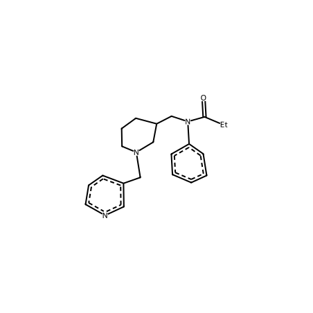 CCC(=O)N(CC1CCCN(Cc2cccnc2)C1)c1ccccc1